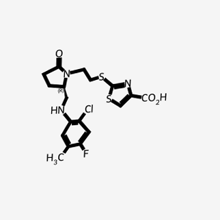 Cc1cc(NC[C@H]2CCC(=O)N2CCSc2nc(C(=O)O)cs2)c(Cl)cc1F